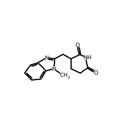 Cn1c(CC2CCC(=O)NC2=O)nc2ccccc21